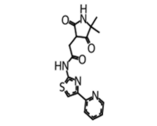 CC1(C)NC(=O)C(CC(=O)Nc2nc(-c3ccccn3)cs2)C1=O